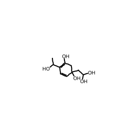 CC(O)C1=C(O)CC(O)(CC(O)O)C=C1